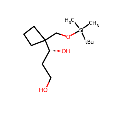 CC(C)(C)[Si](C)(C)OCC1([C@H](O)CCO)CCC1